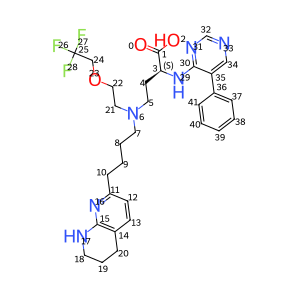 O=C(O)[C@H](CCN(CCCCc1ccc2c(n1)NCCC2)CCOCC(F)(F)F)Nc1ncncc1-c1ccccc1